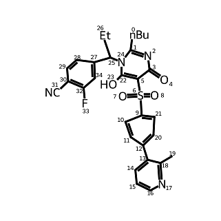 CCCCc1nc(=O)c(S(=O)(=O)c2ccc(-c3cccnc3C)cc2)c(O)n1C(CC)c1ccc(C#N)c(F)c1